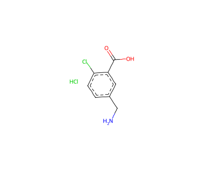 Cl.NCc1ccc(Cl)c(C(=O)O)c1